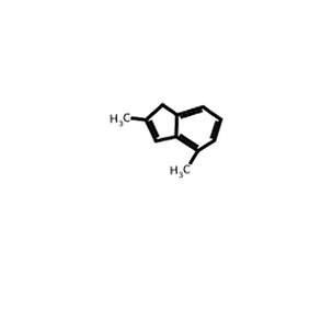 CC1=Cc2c(C)cccc2C1